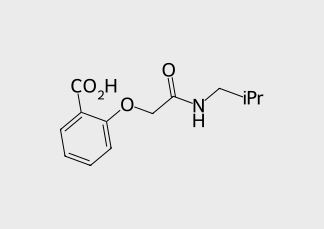 CC(C)CNC(=O)COc1ccccc1C(=O)O